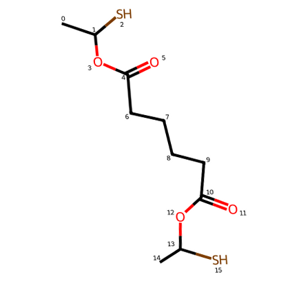 CC(S)OC(=O)CCCCC(=O)OC(C)S